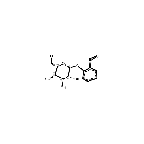 O=Nc1ccccc1O[C@@H]1O[C@H](CO)[C@H](O)[C@H](O)[C@H]1O